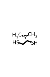 CSC.SCCS